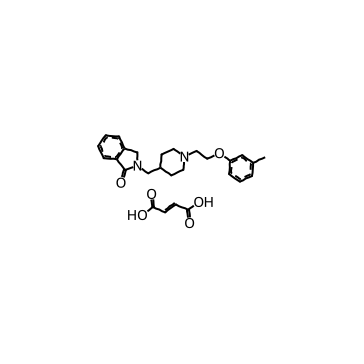 Cc1cccc(OCCN2CCC(CN3Cc4ccccc4C3=O)CC2)c1.O=C(O)C=CC(=O)O